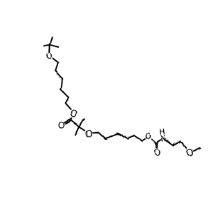 COCCNC(=O)OCCCCCCOC(C)(C)C(=O)OCCCCCCOC(C)(C)C